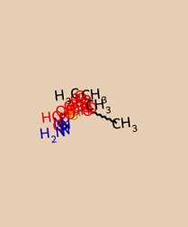 CCCCCCCCCCCC(=O)OC[C@H](F)[C@H]1O[C@@H](OP(=O)(O)OP(O)(=S)OC[C@H]2O[C@@H](c3noc4c(N)ncnc34)[C@H](O)[C@@H]2O)[C@@H](OC(C)=O)[C@@H](OC(C)=O)[C@@H]1OC(C)=O